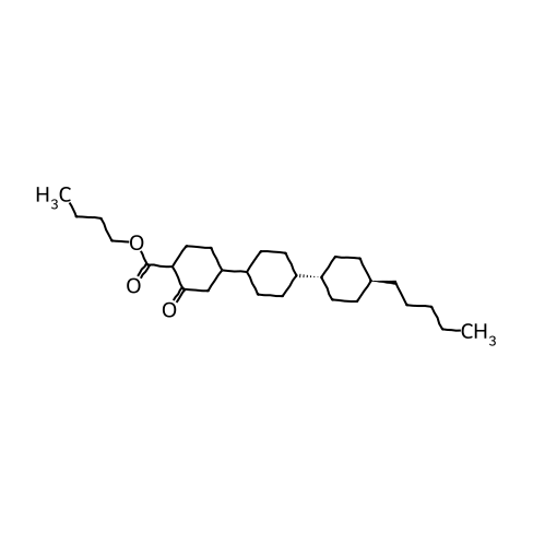 CCCCC[C@H]1CC[C@H](C2CCC(C3CCC(C(=O)OCCCC)C(=O)C3)CC2)CC1